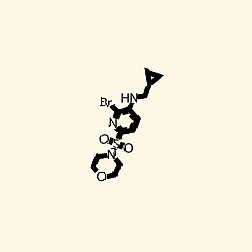 O=S(=O)(c1ccc(NCC2CC2)c(Br)n1)N1CCOCC1